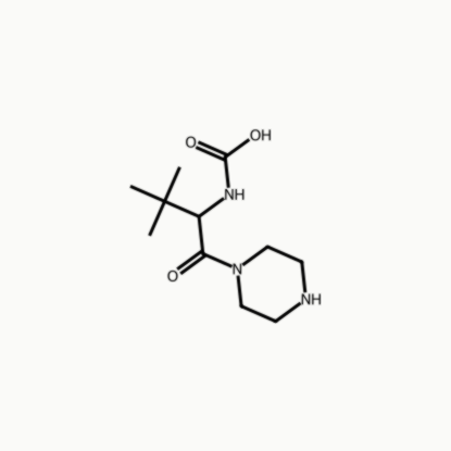 CC(C)(C)C(NC(=O)O)C(=O)N1CCNCC1